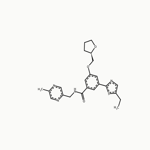 CCc1cnc(-c2cc(OC[C@H]3CCCO3)cc(C(=O)NCc3cnc(C)cn3)c2)s1